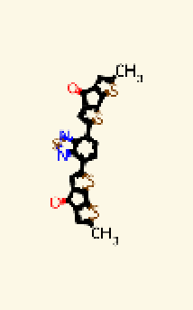 Cc1cc2c(s1)-c1sc(-c3ccc(-c4cc5c(s4)-c4sc(C)cc4C5=O)c4nsnc34)cc1C2=O